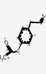 CC(=O)Oc1ccc(C[C]=S)cc1